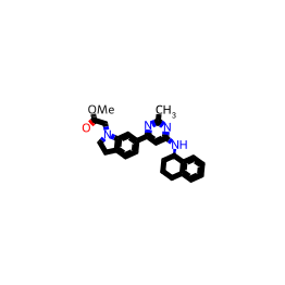 COC(=O)CN1CCc2ccc(-c3cc(N[C@@H]4CCCc5ccccc54)nc(C)n3)cc21